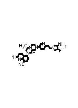 [2H]c1ccc2c(N3C[C@@H]4CN(c5ccc(CCN6C[C@@H](N)[C@@H](F)C6)nc5)CCN4[C@@H](C)C3)ccc(C#N)c2n1